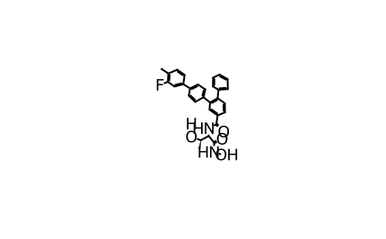 Cc1ccc(-c2ccc(-c3cc(C(=O)N[C@H](C(=O)NO)[C@@H](C)O)ccc3-c3ccccc3)cc2)cc1F